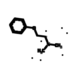 CN(C)[CH]COc1ccccc1